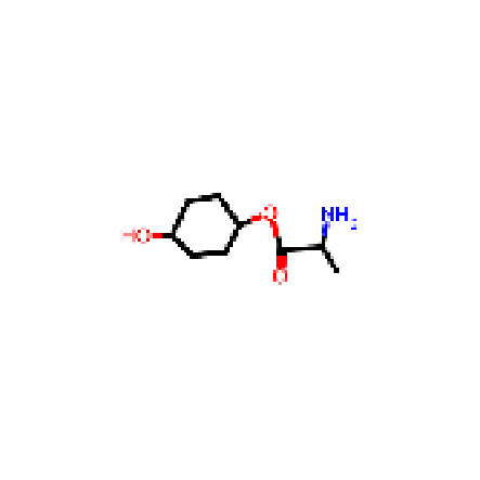 CC(N)C(=O)OC1CCC(O)CC1